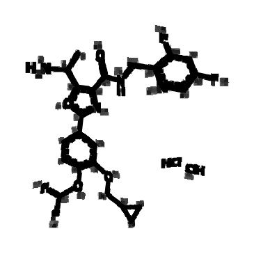 C[C@H](N)c1oc(-c2ccc(OC(F)F)c(OCC3CC3)c2)nc1C(=O)NCc1ncc(F)cc1F.Cl.Cl